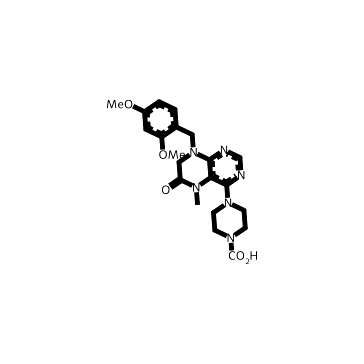 COc1ccc(CN2CC(=O)N(C)c3c(N4CCN(C(=O)O)CC4)ncnc32)c(OC)c1